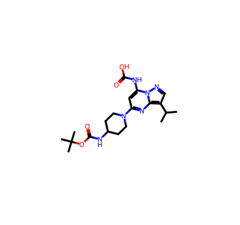 CC(C)c1cnn2c(NC(=O)O)cc(N3CCC(NC(=O)OC(C)(C)C)CC3)nc12